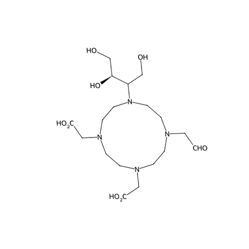 O=CCN1CCN(CC(=O)O)CCN(CC(=O)O)CCN(C(CO)[C@@H](O)CO)CC1